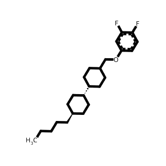 CCCCC[C@H]1CC[C@H](C2CCC(COc3ccc(F)c(F)c3)CC2)CC1